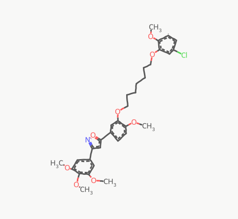 COc1[c]cc(Cl)cc1OCCCCCCCOc1cc(-c2cc(-c3cc(OC)c(OC)c(OC)c3)no2)ccc1OC